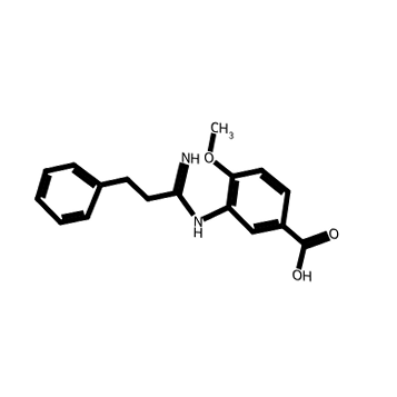 COc1ccc(C(=O)O)cc1NC(=N)CCc1ccccc1